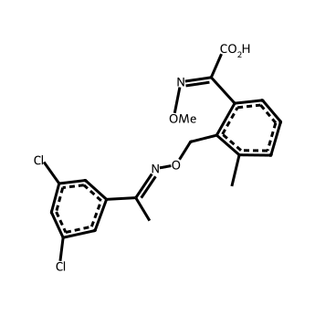 CO/N=C(/C(=O)O)c1cccc(C)c1CO/N=C(\C)c1cc(Cl)cc(Cl)c1